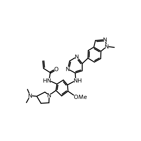 C=CC(=O)Nc1cc(Nc2cc(-c3ccc4c(cnn4C)c3)ncn2)c(OC)cc1N1CCC(N(C)C)C1